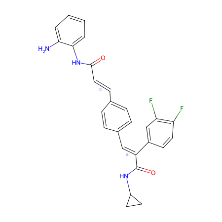 Nc1ccccc1NC(=O)/C=C/c1ccc(/C=C(/C(=O)NC2CC2)c2ccc(F)c(F)c2)cc1